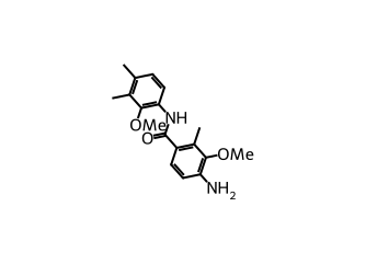 COc1c(N)ccc(C(=O)Nc2ccc(C)c(C)c2OC)c1C